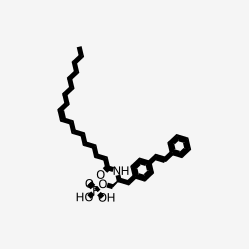 CCCCCCCC/C=C\CCCCCCCC(=O)N[C@H](COP(=O)(O)O)Cc1ccc(/C=C/c2ccccc2)cc1